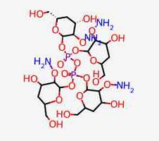 NOC1C(O)CC(CO)OC1OP(=O)(OC1OC(CO)CC(O)C1ON)OP(=O)(OC1OC(CO)CC(O)C1ON)O[C@H]1O[C@H](CO)C[C@H](O)[C@H]1ON